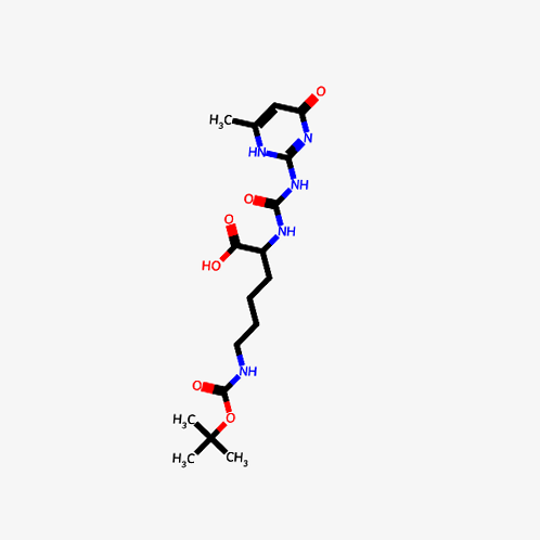 Cc1cc(=O)nc(NC(=O)NC(CCCCNC(=O)OC(C)(C)C)C(=O)O)[nH]1